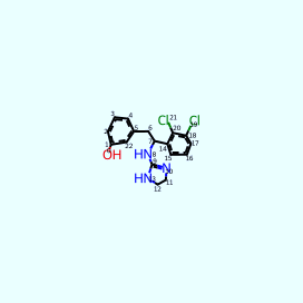 Oc1cccc(CC(NC2=NCCN2)c2cccc(Cl)c2Cl)c1